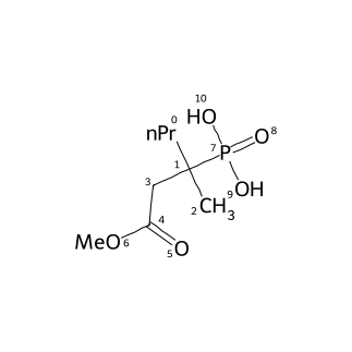 CCCC(C)(CC(=O)OC)P(=O)(O)O